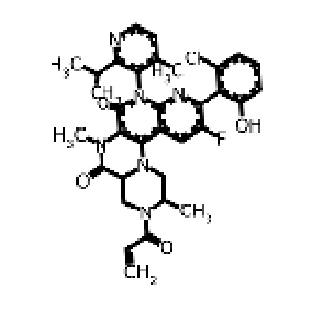 C=CC(=O)N1CC2C(=O)N(C)c3c(c4cc(F)c(-c5c(O)cccc5Cl)nc4n(-c4c(C)ccnc4C(C)C)c3=O)N2CC1C